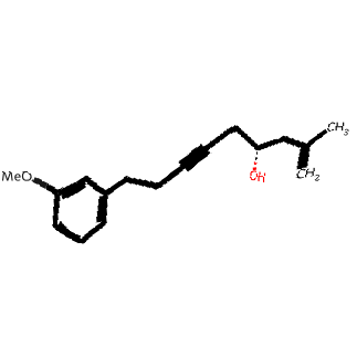 C=C(C)C[C@H](O)CC#CCCc1cccc(OC)c1